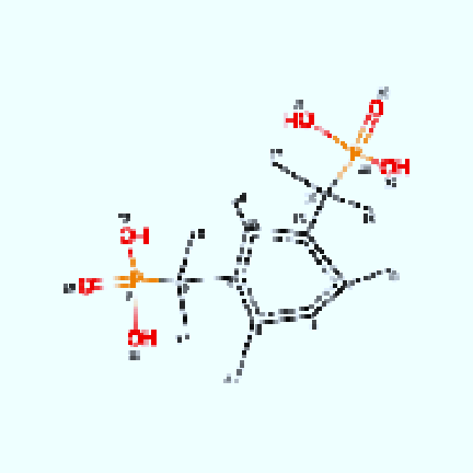 Cc1cc(C)c(C(C)(C)P(=O)(O)O)c(C)c1C(C)(C)P(=O)(O)O